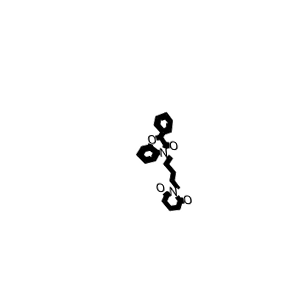 O=C1CCCC(=O)N1CCCCCN1C(=O)C(c2ccccc2)Oc2ccccc21